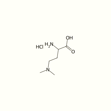 CN(C)CCC(N)C(=O)O.Cl